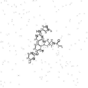 C=CC(=O)N1CC2(CCN(c3nc(Nc4cnn(C)c4)ncc3-c3ccc(Oc4nccc(C)n4)c(F)c3)C2)C1